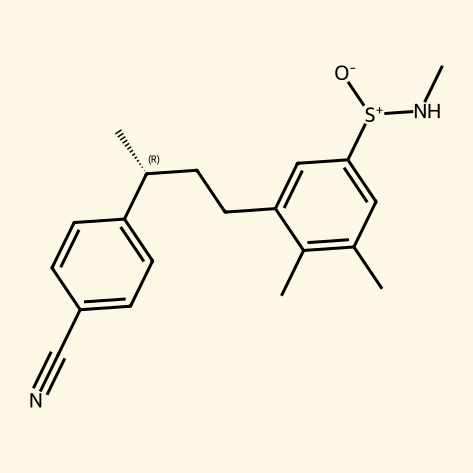 CN[S+]([O-])c1cc(C)c(C)c(CC[C@@H](C)c2ccc(C#N)cc2)c1